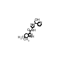 CC1(C)CCc2c(C(=O)Nc3cnn(C(CO)c4cccnc4)c3)n[nH]c2C1